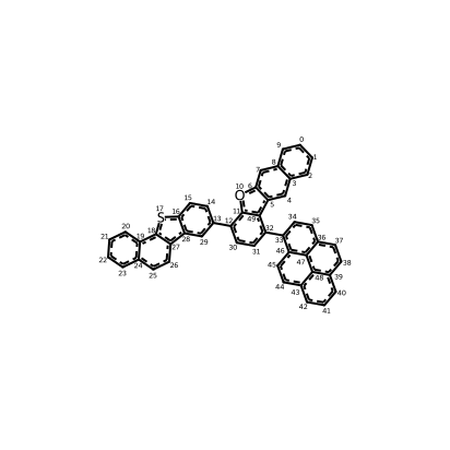 c1ccc2cc3c(cc2c1)oc1c(-c2ccc4sc5c6ccccc6ccc5c4c2)ccc(-c2ccc4ccc5cccc6ccc2c4c56)c13